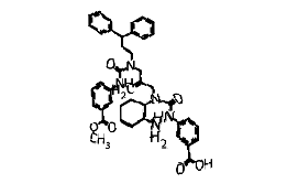 C=C(CN(CCC(c1ccccc1)c1ccccc1)C(=O)Nc1cccc(C(=O)OC)c1)CN(C(=O)Nc1cccc(C(=O)O)c1)[C@@H]1CCCC[C@@H]1N